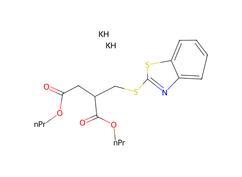 CCCOC(=O)CC(CSc1nc2ccccc2s1)C(=O)OCCC.[KH].[KH]